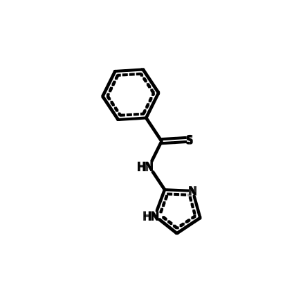 S=C(Nc1ncc[nH]1)c1ccccc1